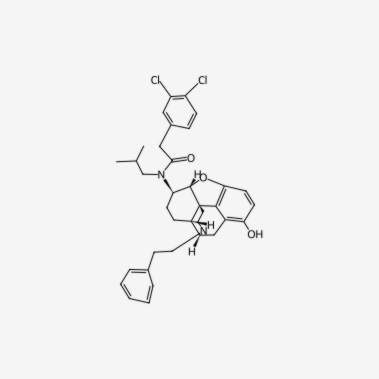 CC(C)CN(C(=O)Cc1ccc(Cl)c(Cl)c1)[C@@H]1CC[C@H]2[C@H]3Cc4c(O)ccc5c4[C@@]2(CCN3CCc2ccccc2)[C@H]1O5